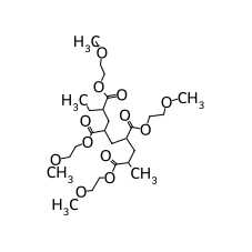 CCC(CC(CC(CC(C)C(=O)OCCOC)C(=O)OCCOC)C(=O)OCCOC)C(=O)OCCOC